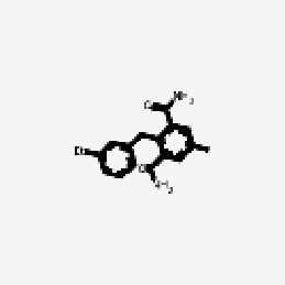 CCc1cccc(Cc2c(C(N)=O)cc(C)cc2C(N)=O)c1